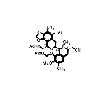 COCOc1c(OC)c(C)cc2c1[C@@H](C1Cc3c(OC(C)=O)c(C)c4c(c3[C@H](CNC(C)=O)O1)OCO4)N(C)[C@H](CC#N)C2